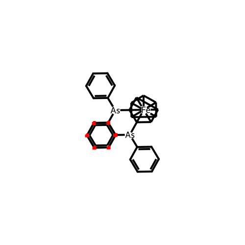 c1ccc([As](c2ccccc2)[C]23[CH]4[CH]5[CH]6[C]2([As](c2ccccc2)c2ccccc2)[Fe]54632789[CH]3[CH]2[CH]7[CH]8[CH]39)cc1